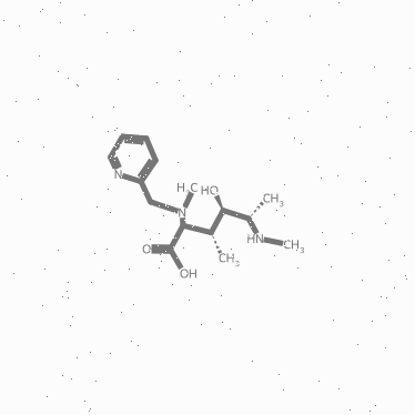 CN[C@@H](C)[C@H](O)[C@H](C)C(C(=O)O)N(C)Cc1ccccn1